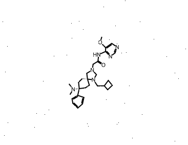 COc1cncnc1NC(=O)CN1CN(CC2CCC2)[C@]2(CC[C@@](c3ccccc3)(N(C)C)CC2)C1